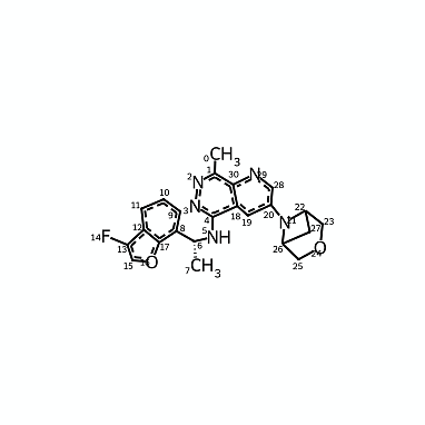 Cc1nnc(N[C@H](C)c2cccc3c(F)coc23)c2cc(N3C4COCC3C4)cnc12